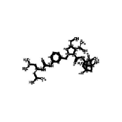 CC(C)C[C@H](CN(C)C)NC(=O)Nc1cccc(CN2O[C@@H](CO)[C@@H]([C@H](C)O)[C@H]2C(=O)NC2C[C@H]3C[C@@H]([C@@H]2C)C3(C)C)c1